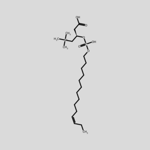 CC/C=C\CCCCCCCCCCOP(=O)(O)O[C@H](CC(=O)O)C[N+](C)(C)C